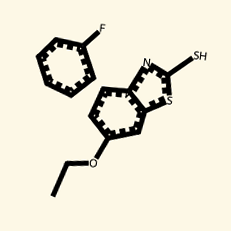 CCOc1ccc2nc(S)sc2c1.Fc1ccccc1